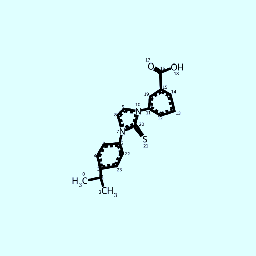 CC(C)c1ccc(-n2ccn(-c3cccc(C(=O)O)c3)c2=S)cc1